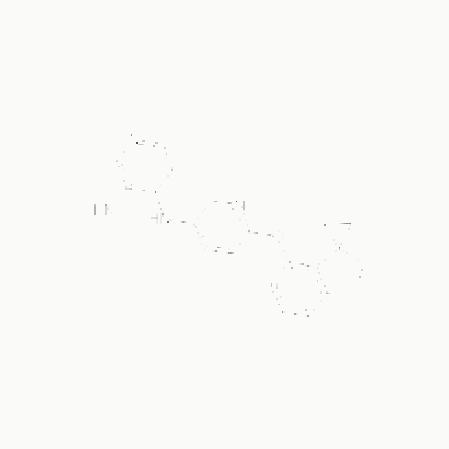 Nc1cnccc1Nc1ccc(Oc2cccc3c2C2(CC2)CO3)nc1